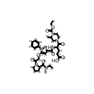 CCOC(=O)N1CCN(C(=O)C(CCC(=O)O)NC(=O)c2cc(OCC(=O)N3CCCC3C(=O)N(F)CC)n(-c3ccccc3)n2)CC1C